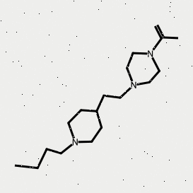 C=C(C)N1CCN(CCC2CCN(CCCC)CC2)CC1